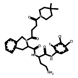 CC1(C)CCN(C(=O)CCC(=O)N2Cc3ccccc3CC2C(=O)NC(CCN)C(=O)Nc2ccc(Cl)c(Cl)c2F)CC1